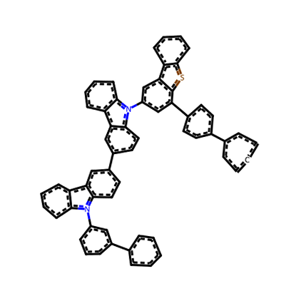 c1ccc(-c2ccc(-c3cc(-n4c5ccccc5c5cc(-c6ccc7c(c6)c6ccccc6n7-c6cccc(-c7ccccc7)c6)ccc54)cc4c3sc3ccccc34)cc2)cc1